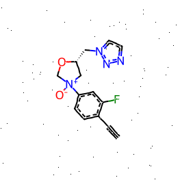 C#Cc1ccc([N+]2([O-])CO[C@H](Cn3ccnn3)C2)cc1F